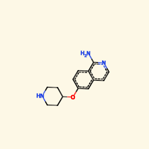 Nc1nccc2cc(OC3CCNCC3)ccc12